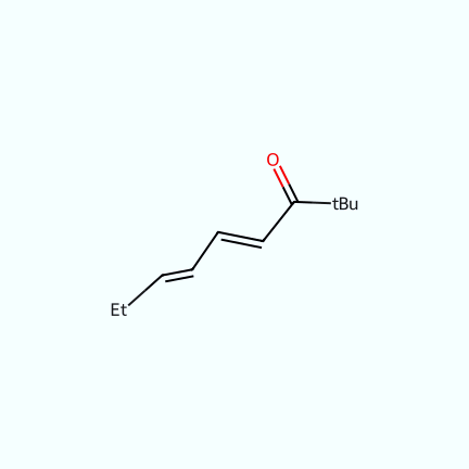 CC/C=C/C=C/C(=O)C(C)(C)C